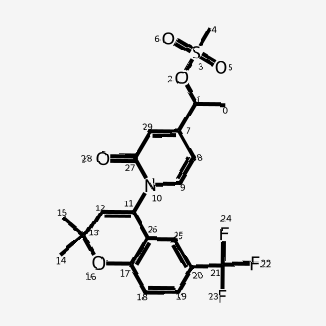 CC(OS(C)(=O)=O)c1ccn(C2=CC(C)(C)Oc3ccc(C(F)(F)F)cc32)c(=O)c1